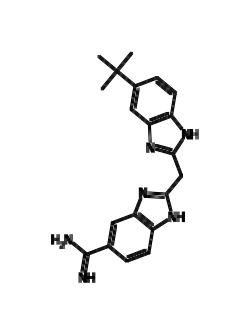 CC(C)(C)c1ccc2[nH]c(Cc3nc4cc(C(=N)N)ccc4[nH]3)nc2c1